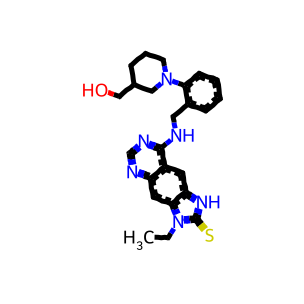 CCn1c(=S)[nH]c2cc3c(NCc4ccccc4N4CCCC(CO)C4)ncnc3cc21